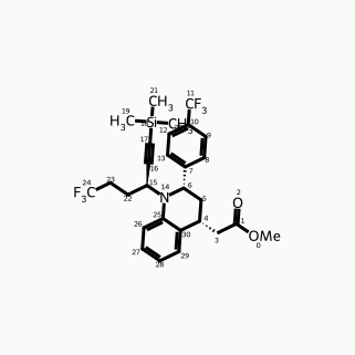 COC(=O)C[C@H]1C[C@@H](c2ccc(C(F)(F)F)cc2)N([C@H](C#C[Si](C)(C)C)CCC(F)(F)F)c2ccccc21